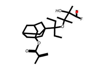 C=C(C)C(=O)OC12CC3CC(C1)CC(C(CC)(CC)OC(C)(C)C(C)(O)C(F)(F)F)(C3)C2